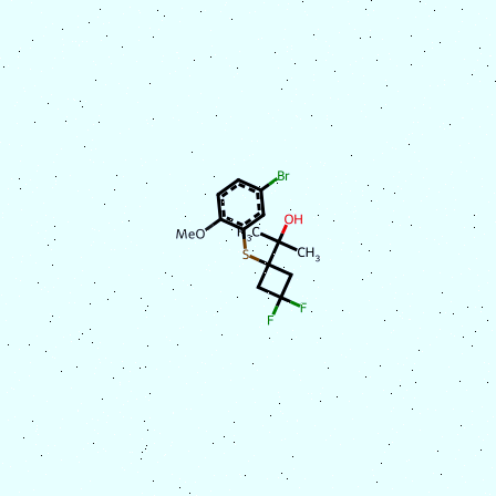 COc1ccc(Br)cc1SC1(C(C)(C)O)CC(F)(F)C1